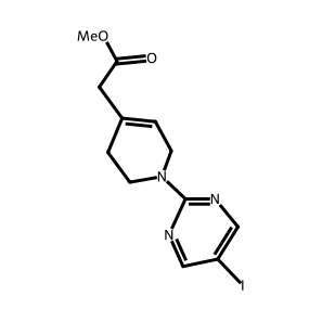 COC(=O)CC1=CCN(c2ncc(I)cn2)CC1